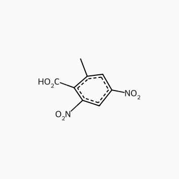 Cc1cc([N+](=O)[O-])cc([N+](=O)[O-])c1C(=O)O